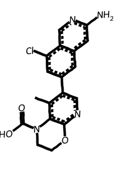 Cc1c(-c2cc(Cl)c3cnc(N)cc3c2)cnc2c1N(C(=O)O)CCO2